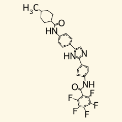 CC1CCC(C(=O)Nc2ccc(-c3cnc(-c4ccc(NC(=O)c5c(F)c(F)c(F)c(F)c5F)cc4)[nH]3)cc2)CC1